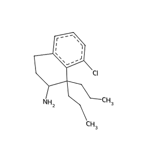 CCCC1(CCC)c2c(Cl)cccc2CCC1N